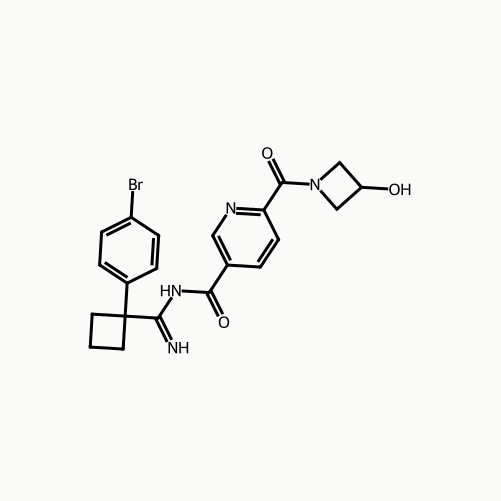 N=C(NC(=O)c1ccc(C(=O)N2CC(O)C2)nc1)C1(c2ccc(Br)cc2)CCC1